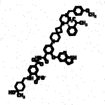 COc1ccc(CN2CCN(C3CC4(CCN(c5ccc(C(=O)NS(=O)(=O)c6ccc(NCC7CCC(C)(O)CC7)c([N+](=O)[O-])c6)c(Oc6cnc7[nH]ccc7c6)c5)CC4)C3)[C@@H](c3ccccc3C(C)C)C2)cc1